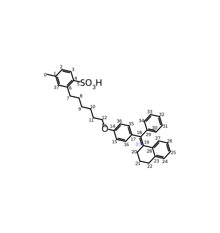 Cc1ccc(S(=O)(=O)O)c(CCCCCCOc2ccc(/C(=C3\CCCc4ccccc43)c3ccccc3)cc2)c1